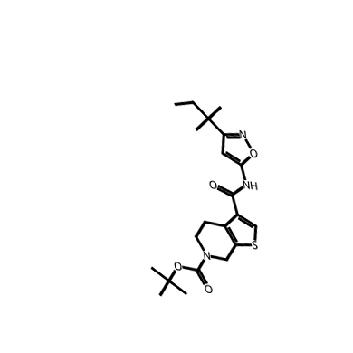 CCC(C)(C)c1cc(NC(=O)c2csc3c2CCN(C(=O)OC(C)(C)C)C3)on1